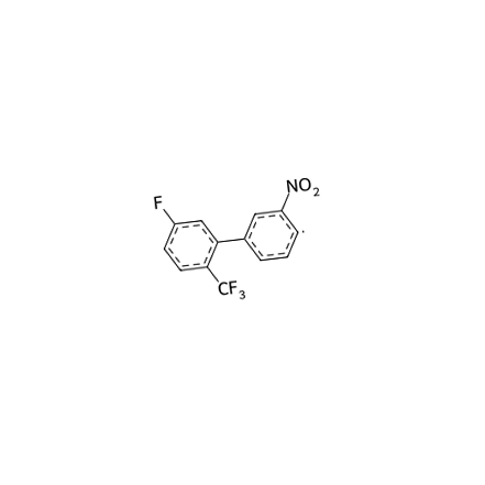 O=[N+]([O-])c1[c]ccc(-c2cc(F)ccc2C(F)(F)F)c1